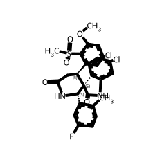 COc1cc(Cl)cc([C@@H]2CC(=O)N[C@@H](c3cc(F)ccc3C)[C@]23C(=O)Nc2cc(Cl)ccc23)c1S(C)(=O)=O